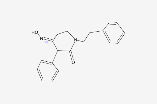 O=C1C(c2ccccc2)/C(=N/O)CCN1CCc1ccccc1